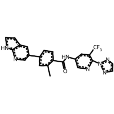 Cc1cc(-c2cnc3[nH]ccc3c2)ccc1C(=O)Nc1cnc(-n2nccn2)c(C(F)(F)F)c1